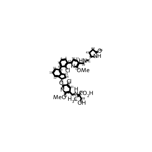 COc1nc(-c2cccc(-c3cccc4c3CC[C@@H]4Oc3nc(OC)c(CN[C@@](C)(CO)C(=O)O)cc3Cl)c2Cl)ccc1CNC[C@@H]1CCC(=O)N1